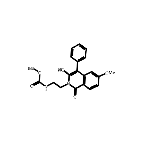 COc1ccc2c(=O)n(CCNC(=O)OC(C)(C)C)c(C#N)c(-c3ccccc3)c2c1